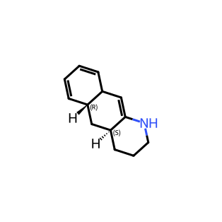 C1=CC2C=C3NCCC[C@H]3C[C@@H]2C=C1